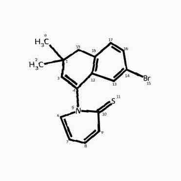 CC1(C)C=C(n2ccccc2=S)c2cc(Br)ccc2C1